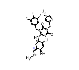 CN/C=C1/C[C@@H](Nc2nc(=O)n(Cc3cn(C)cn3)c(=O)n2Cc2cc(F)c(F)c(F)c2)C(Cl)=CC1=N